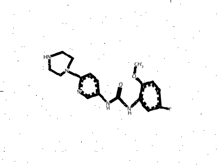 COc1ccc(F)cc1NC(=O)Nc1ccc(N2CCNCC2)nc1